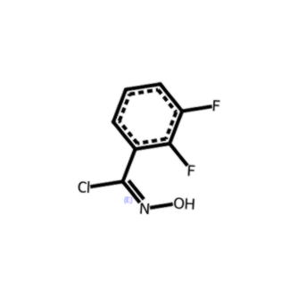 O/N=C(/Cl)c1cccc(F)c1F